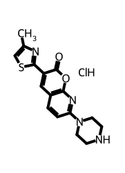 Cc1csc(-c2cc3ccc(N4CCNCC4)nc3oc2=O)n1.Cl